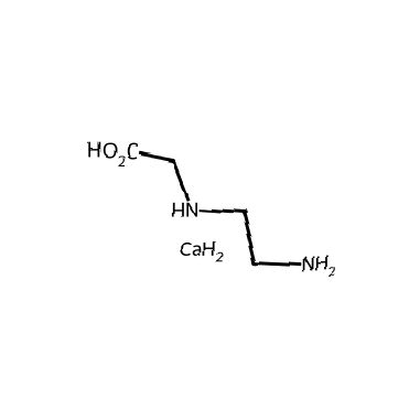 NCCNCC(=O)O.[CaH2]